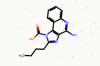 CCCCc1nc2c(N)nc3ccccc3c2n1C(=O)O